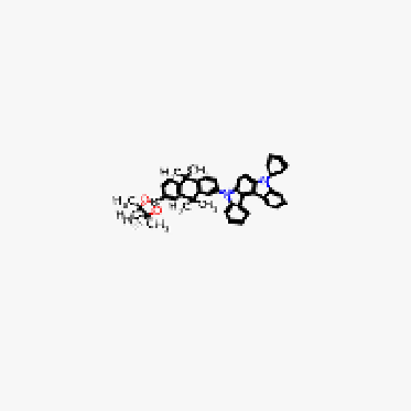 CC1(C)c2ccc(B3OC(C)(C)C(C)(C)O3)cc2C(C)(C)c2cc(-n3c4ccccc4c4c5c6ccccc6n(-c6ccccc6)c5ccc43)ccc21